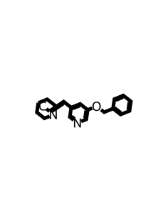 C(=C1CC2CCN1CC2)c1cncc(OCc2ccccc2)c1